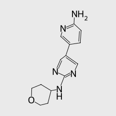 Nc1ccc(-c2cnc(NC3CCOCC3)nc2)cn1